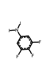 Fc1cc(N(I)I)cc(F)c1F